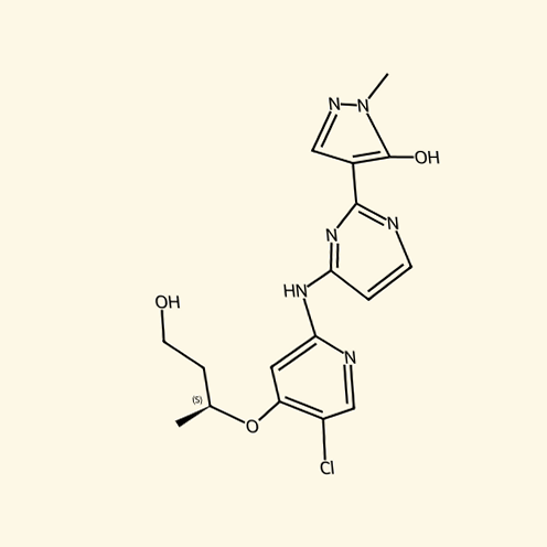 C[C@@H](CCO)Oc1cc(Nc2ccnc(-c3cnn(C)c3O)n2)ncc1Cl